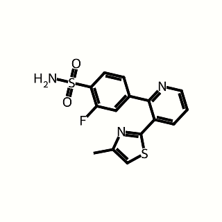 Cc1csc(-c2cccnc2-c2ccc(S(N)(=O)=O)c(F)c2)n1